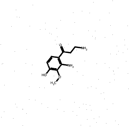 COc1c(O)ccc(C(=O)CCN)c1N